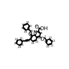 O=C(O)c1cc(OCc2ccccc2)c2ccc(C#Cc3ccccc3)c(OCc3ccccc3)c2n1